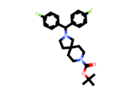 CC(C)(C)OC(=O)N1CCC2(CC1)CCN(C(c1ccc(F)cc1)c1ccc(F)cc1)C2